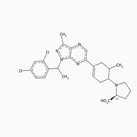 Cc1nn(C(C)c2ccc(Cl)cc2Cl)c2nc(C3=CCC(N4CCC[C@H]4C(=O)O)C(C)C3)cnc12